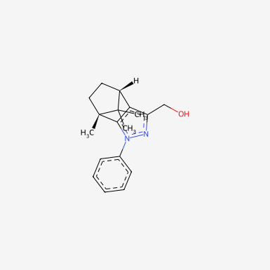 CC1(C)[C@@H]2CC[C@@]1(C)c1c2c(CO)nn1-c1ccccc1